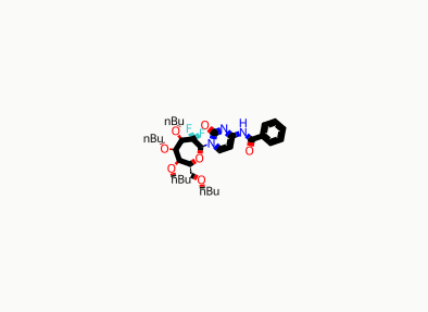 CCCCOC[C@H]1O[C@@H](n2ccc(NC(=O)c3ccccc3)nc2=O)C(F)(F)[C@H](OCCCC)[C@@H](OCCCC)[C@@H]1OCCCC